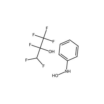 OC(F)(C(F)F)C(F)(F)F.ONc1ccccc1